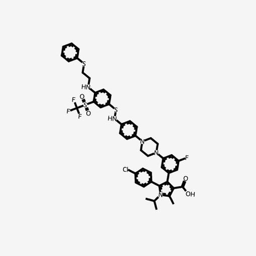 Cc1c(C(=O)O)c(-c2cc(F)cc(N3CCN(c4ccc(NSc5ccc(NCCSc6ccccc6)c(S(=O)(=O)C(F)(F)F)c5)cc4)CC3)c2)c(-c2ccc(Cl)cc2)n1C(C)C